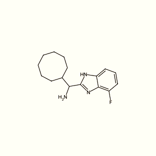 NC(c1nc2c(F)cccc2[nH]1)C1CCCCCCC1